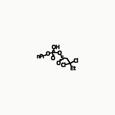 CCCOP(=O)(O)OS(=O)CC(Cl)(Cl)CC